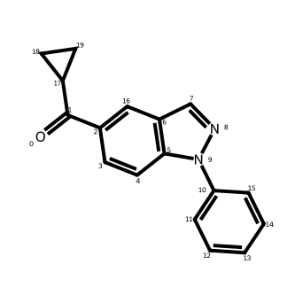 O=C(c1ccc2c(cnn2-c2ccccc2)c1)C1CC1